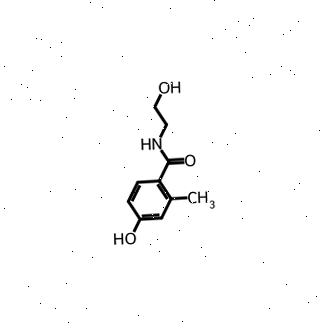 Cc1cc(O)ccc1C(=O)NCCO